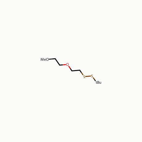 COCCOCCSSC(C)(C)C